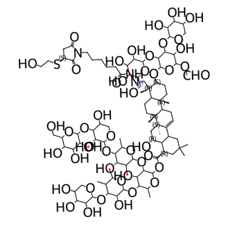 CC1OC(OC2C(C)OC(OC(=O)[C@@H]3CC(C)(C)CC4C5=CCC6[C@@]7(C)CC[C@H](OC8OC(OC=O)C(O)C(OC9OCC(O)C(O)C9O)C8OC8OC(CO)C(O)C(O)C8O)[C@@](C)(/C=N/NC(=O)CCCCCN8C(=O)C[C@H](SCCO)C8=O)C7CC[C@@]6(C)[C@]5(C)C[C@@H](O)C43)C(OC3OC(C)C(OC4OCC(O)C(OC5OC(CO)C(O)C(O)C5O)C4O)C(O)C3C)C2O)C(O)C(OC2OCC(O)C(O)C2O)C1C